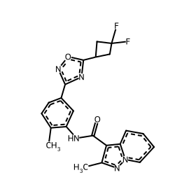 Cc1ccc(-c2noc(C3CC(F)(F)C3)n2)cc1NC(=O)c1c(C)nn2ccccc12